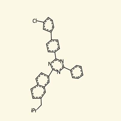 CC(C)Cc1ccc2ccc(-c3nc(-c4ccccc4)nc(-c4ccc(-c5cccc(Cl)c5)cc4)n3)cc2c1